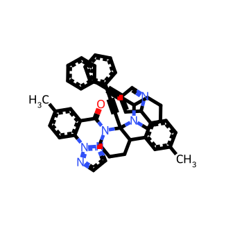 Cc1ccc(-n2nccn2)c(C(=O)N2CCCC(c3cc(C)ccc3C3C=CC=N3)C2(C#Cc2ccccc2)N2CCCCC2C#Cc2ccccc2)c1